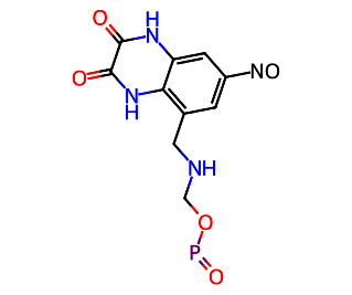 O=Nc1cc(CNCOP=O)c2[nH]c(=O)c(=O)[nH]c2c1